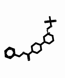 CS(=O)(=O)OC[C@@H]1CCCN(C2CCN(C(=O)OCc3ccccc3)CC2)C1